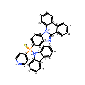 S=P(c1ccncc1)(c1ccc2c(c1)nc1c3ccccc3c3ccccc3n21)n1c2ccccc2c2ccccc21